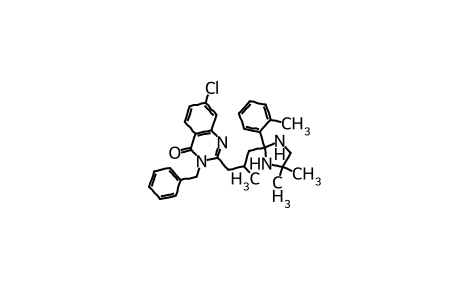 Cc1ccccc1C1(CC(C)Cc2nc3cc(Cl)ccc3c(=O)n2Cc2ccccc2)NCC(C)(C)N1